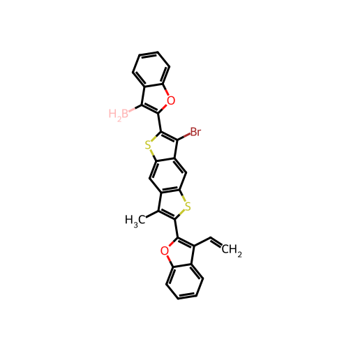 Bc1c(-c2sc3cc4c(C)c(-c5oc6ccccc6c5C=C)sc4cc3c2Br)oc2ccccc12